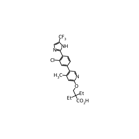 CCC(CC)(COc1cc(C)c(-c2ccc(-c3ncc(C(F)(F)F)[nH]3)c(Cl)c2)cn1)C(=O)O